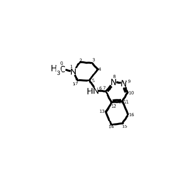 CN1CCCC(Nc2nncc3c2CCCC3)C1